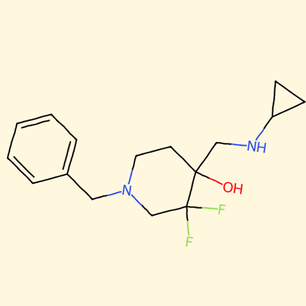 OC1(CNC2CC2)CCN(Cc2ccccc2)CC1(F)F